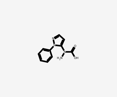 NN(C(=O)O)c1ccnn1-c1ccccc1